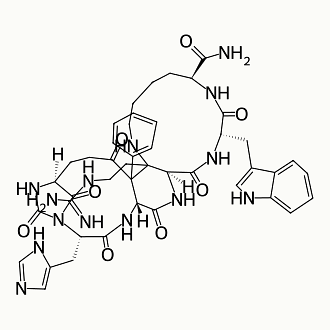 N=C(N)NCCC12NCCCC[C@@H](C(N)=O)NC(=O)[C@H](Cc3c[nH]c4ccccc34)NC(=O)[C@H]1NC(=O)[C@@H]1NC(=O)[C@H](Cc3cnc[nH]3)N3C(=O)N[C@@H](CCC(=O)C12c1ccccc1)C3=O